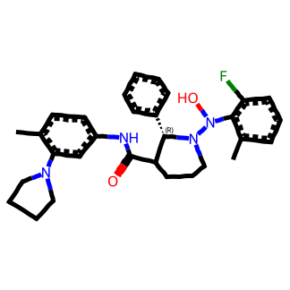 Cc1ccc(NC(=O)C2CCCN(N(O)c3c(C)cccc3F)[C@H]2c2ccccc2)cc1N1CCCC1